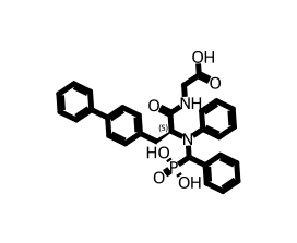 O=C(O)CNC(=O)[C@H](Cc1ccc(-c2ccccc2)cc1)N(c1ccccc1)C(c1ccccc1)P(=O)(O)O